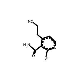 N#CC[CH]c1ccnc(Br)c1C(N)=O